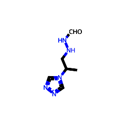 CC(CNNC=O)n1cnnc1